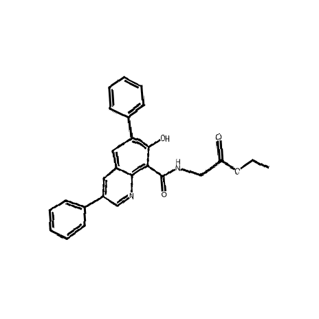 CCOC(=O)CNC(=O)c1c(O)c(-c2ccccc2)cc2cc(-c3ccccc3)cnc12